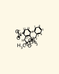 CN(Cc1ccccc1)c1cccc([N+](=O)[O-])c1CC(C)(C)[O]